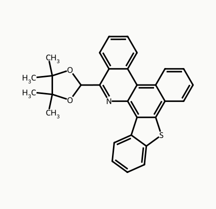 CC1(C)OC(c2nc3c(c4ccccc24)c2ccccc2c2sc4ccccc4c32)OC1(C)C